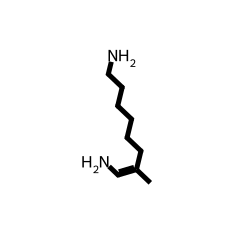 CC(=CN)CCCCCCN